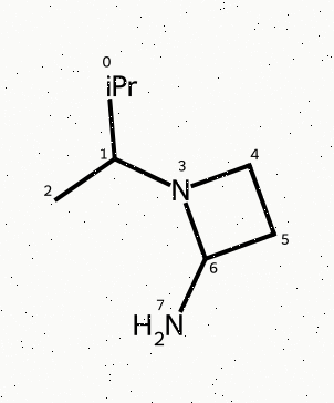 CC(C)C(C)N1CCC1N